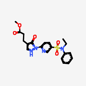 CCN(c1ccccc1)S(=O)(=O)c1ccc(-n2[nH]cc(CCC(=O)OC)c2=O)nc1